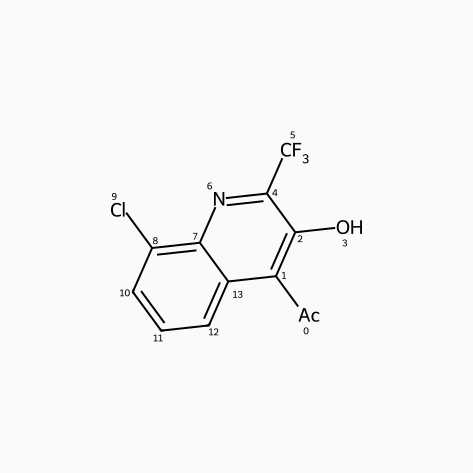 CC(=O)c1c(O)c(C(F)(F)F)nc2c(Cl)cccc12